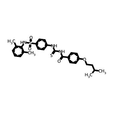 Cc1cccc(C)c1NS(=O)(=O)c1ccc(NC(=S)NC(=O)c2ccc(OCCC(C)C)cc2)cc1